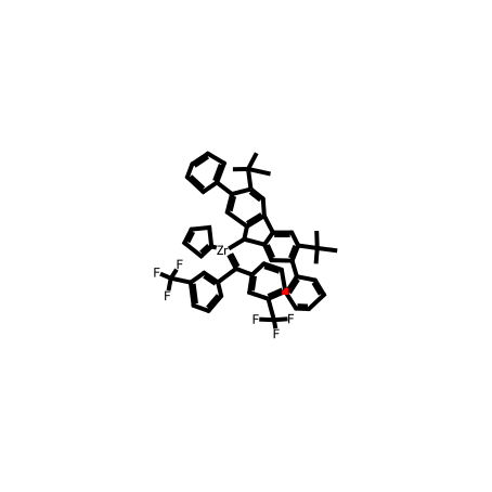 CC(C)(C)c1cc2c(cc1-c1ccccc1)[CH]([Zr]([C]1=CC=CC1)=[C](c1cccc(C(F)(F)F)c1)c1cccc(C(F)(F)F)c1)c1cc(-c3ccccc3)c(C(C)(C)C)cc1-2